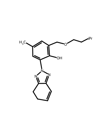 Cc1cc(COCCC(C)C)c(O)c(-n2nc3c(n2)CCC=C3)c1